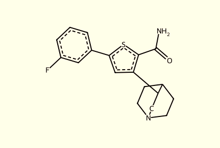 NC(=O)c1sc(-c2cccc(F)c2)cc1C1CN2CCC1CC2